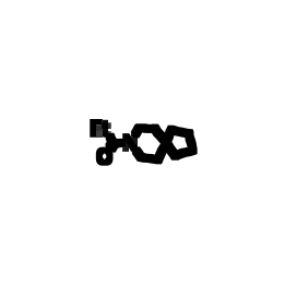 CCC(=O)N1CCC2(CCCC2)CC1